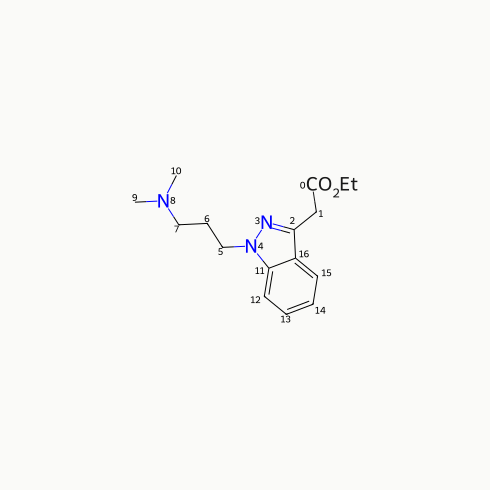 CCOC(=O)Cc1nn(CCCN(C)C)c2ccccc12